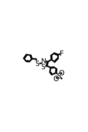 CS(=O)(=O)c1ccc(-c2sc(SCc3ccccc3)nc2-c2ccc(F)cc2)cc1